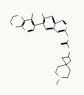 Cc1c(-c2cc3cc(NC(=O)OC4CC5(CCN(C)CC5)C4)ncc3cc2F)cnc2c1NCCO2